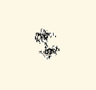 CCO[Si](C)(C)CC(C)(SSSSC(C)(C[Si](C)(C)OCC)[Si](C)(C)OCC)[Si](C)(C)OCC